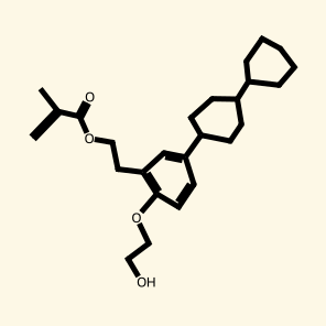 C=C(C)C(=O)OCCc1cc(C2CCC(C3CCCCC3)CC2)ccc1OCCO